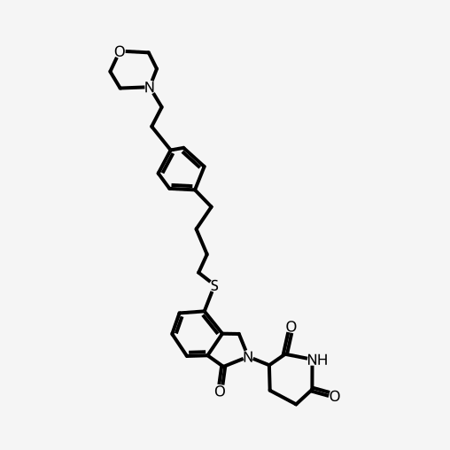 O=C1CCC(N2Cc3c(SCCCCc4ccc(CCN5CCOCC5)cc4)cccc3C2=O)C(=O)N1